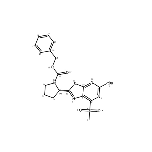 CC(C)(C)c1nc(S(C)(=O)=O)c2nc([C@H]3CCCN3C(=O)OCc3ccccc3)sc2n1